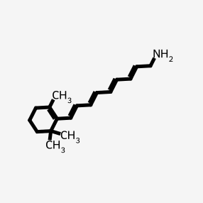 CC1=C(/C=C/C=C/C=C/C=C/CN)C(C)(C)CCC1